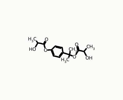 CC(O)C(=O)Oc1ccc(C(C)(C)OC(=O)C(C)O)cc1